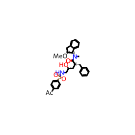 CO[C@H]1Cc2ccccc2[C@@H]1N(C)C(=O)[C@H](Cc1ccccc1)C[C@H](O)CNS(=O)(=O)c1ccc(C(C)=O)cc1